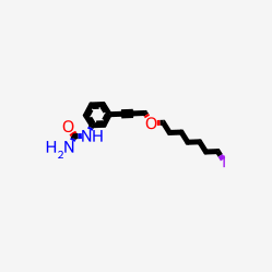 NC(=O)Nc1cccc(C#CCOCCCCCCCI)c1